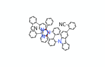 N#Cc1ccccc1-c1ccc2c(c1)c1ccccc1n2-c1ccccc1-c1c(-c2cc(-c3ccccc3)nc(-c3ccccc3)n2)cccc1-n1c2ccccc2c2cc(-c3ccccc3C#N)ccc21